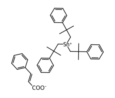 CC(C)([CH2][Sn+]([CH2]C(C)(C)c1ccccc1)[CH2]C(C)(C)c1ccccc1)c1ccccc1.O=C([O-])C=Cc1ccccc1